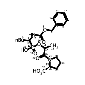 CCCC[C@@H](NC(=O)OCc1ccccc1)P(=O)(O)OC(C)C(=O)N1CCC[C@H]1C(=O)O